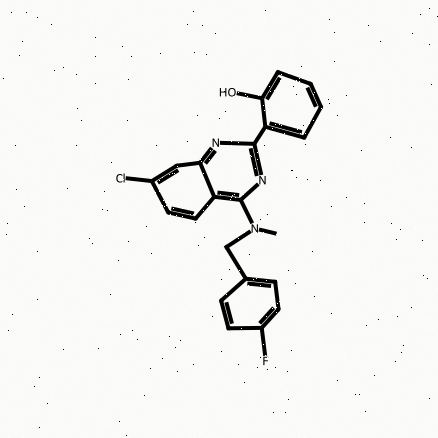 CN(Cc1ccc(F)cc1)c1nc(-c2ccccc2O)nc2cc(Cl)ccc12